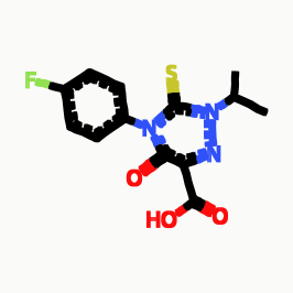 CC(C)n1nc(C(=O)O)c(=O)n(-c2ccc(F)cc2)c1=S